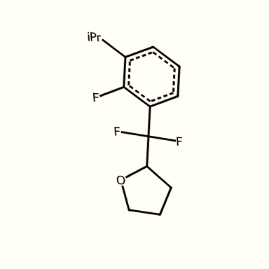 CC(C)c1cccc(C(F)(F)C2CCCO2)c1F